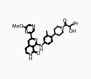 COc1cncc(-c2cc3cc[nH]c(=O)c3c(Nc3ccc(C4CCN(C(=O)C(O)C(C)C)CC4)c(C)c3)n2)n1